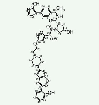 Cc1ncsc1-c1ccc([C@H](C)NC(=O)[C@@H]2C[C@@H](O)CN2C(=O)[C@@H](c2cc(OCCN3CCC(c4cc5cc(-c6ccccc6O)nnc5s4)CC3)no2)C(C)C)cc1